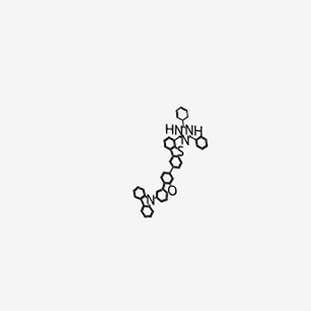 C1=CCC(C2NC(c3cccc4c3sc3ccc(-c5ccc6c(c5)oc5ccc(-n7c8ccccc8c8ccccc87)cc56)cc34)=NC(c3ccccc3)N2)C=C1